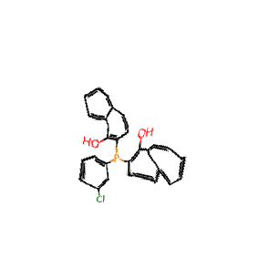 Oc1c(P(c2cccc(Cl)c2)c2ccc3ccccc3c2O)ccc2ccccc12